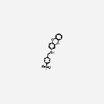 CS(=O)(=O)c1ccc(CNc2ccc3c(c2)Oc2ccccc2O3)cc1